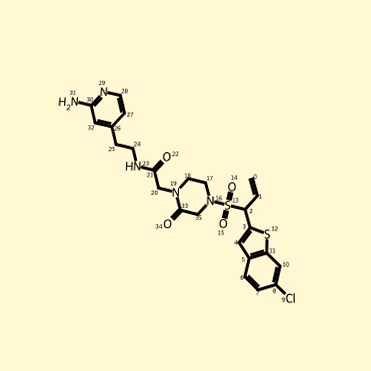 C=CC(c1cc2ccc(Cl)cc2s1)S(=O)(=O)N1CCN(CC(=O)NCCc2ccnc(N)c2)C(=O)C1